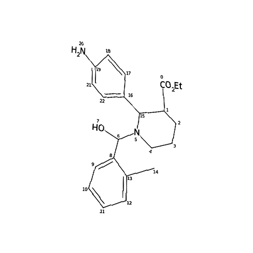 CCOC(=O)C1CCCN(C(O)c2ccccc2C)C1c1ccc(N)cc1